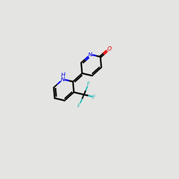 O=C1C=CC(=C2NC=CC=C2C(F)(F)F)C=N1